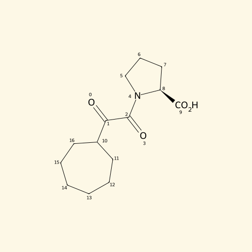 O=C(C(=O)N1CCC[C@H]1C(=O)O)C1CCCCCC1